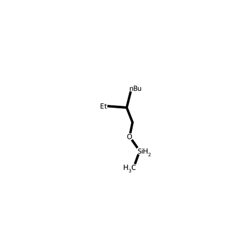 CCCCC(CC)CO[SiH2]C